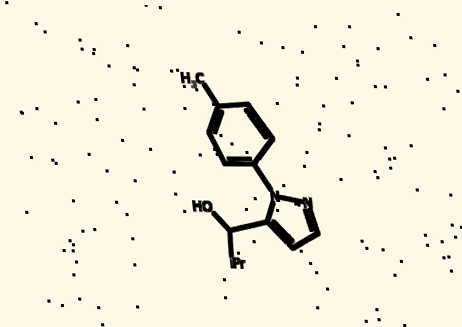 Cc1ccc(-n2nccc2C(O)C(C)C)cc1